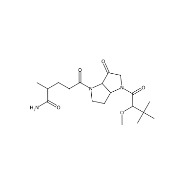 COC(C(=O)N1CC(=O)C2C1CCN2C(=O)[CH]CC(C)C(N)=O)C(C)(C)C